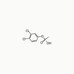 [CH2]P(=O)(O)Oc1ccc(Cl)c(Cl)c1